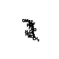 C=C/C(C#N)=C/[C@@H]1[C@@H](C(=O)OCc2c(F)c(F)c(COC)c(F)c2F)C1(C)C